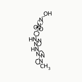 Cc1cccc(-c2nccc(Nc3ccnc(Nc4ccc(S(=O)(=O)N5CCN(CCO)CC5)cc4)n3)n2)n1